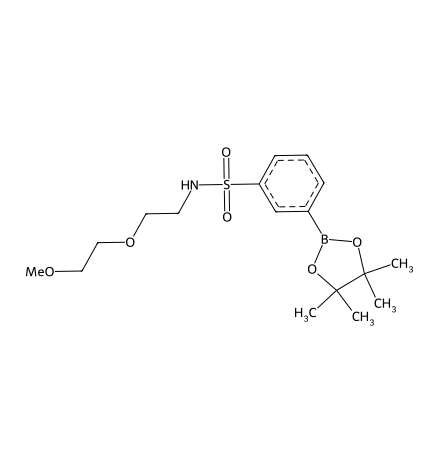 COCCOCCNS(=O)(=O)c1cccc(B2OC(C)(C)C(C)(C)O2)c1